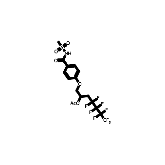 CC(=O)OC(COc1ccc(C(=O)NS(C)(=O)=O)cc1)CC(F)(F)C(F)(F)C(F)(F)C(F)(F)F